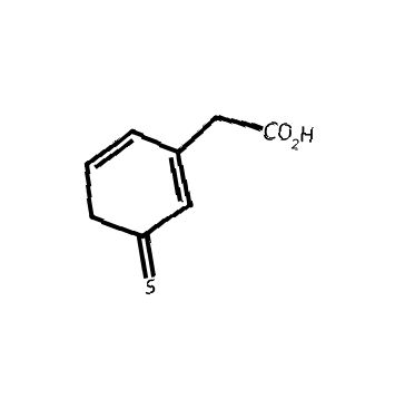 O=C(O)CC1=CC(=S)CC=C1